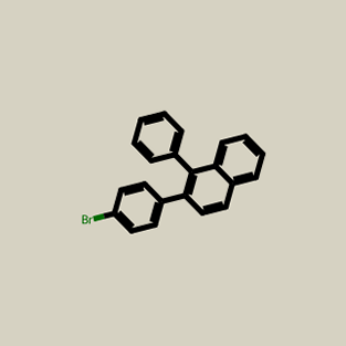 Brc1ccc(-c2ccc3ccccc3c2-c2ccccc2)cc1